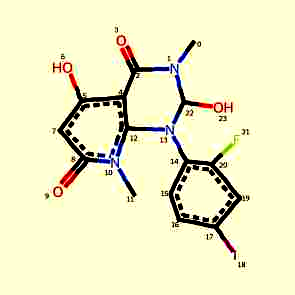 CN1C(=O)c2c(O)cc(=O)n(C)c2N(c2ccc(I)cc2F)C1O